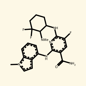 CNC1C(Nc2nc(Nc3cccc4c3ccn4C)c(C(N)=O)cc2F)CCCC1(F)F